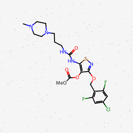 COC(=O)Oc1c(OCc2c(F)cc(Cl)cc2F)nsc1NC(=O)NCCCN1CCN(C)CC1